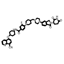 N#Cc1ccc(OC2CCC(NC(=O)c3ccc(N4CCC(CN5CCN(c6ccc7c(c6)CN([C@H]6CCC(=O)NC6=O)C7=O)CC5)CC4)c(F)c3)CC2)c2cccnc12